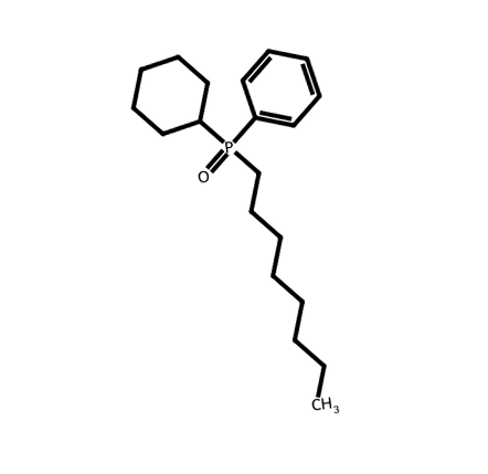 CCCCCCCCP(=O)(c1ccccc1)C1CCCCC1